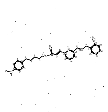 COc1ccc(CCCCOOC(=O)C=Cc2cccc(CSCc3ccccc3Cl)n2)cc1